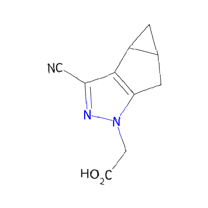 N#Cc1nn(CC(=O)O)c2c1C1CC1C2